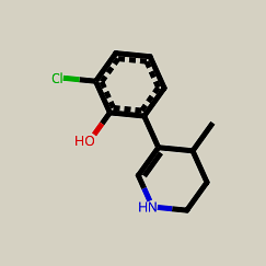 CC1CCNC=C1c1cccc(Cl)c1O